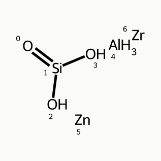 O=[Si](O)O.[AlH3].[Zn].[Zr]